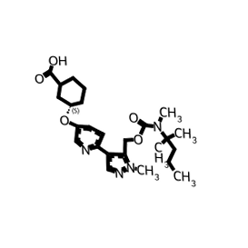 CCCC(C)(C)N(C)C(=O)OCc1c(-c2ccc(O[C@H]3CCCC(C(=O)O)C3)cn2)cnn1C